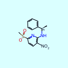 C[C@@H](Nc1nc(S(C)(=O)=O)ccc1[N+](=O)[O-])c1ccccc1